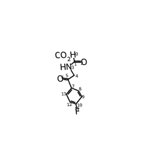 O=C(O)C(=O)NCC(=O)c1ccc(F)cc1